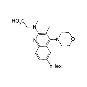 CCCCCCc1ccc2nc(N(C)CC(=O)O)c(C)c(N3CCOCC3)c2c1